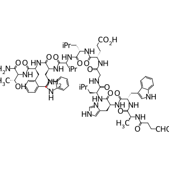 CC(C)C[C@H](NC(=O)[C@H](Cc1c[nH]cn1)NC(=O)[C@H](Cc1c[nH]c2ccccc12)NC(=O)[C@H](C)NC(=O)CCC=O)C(=O)NCC(=O)N[C@@H](CCC(=O)O)C(=O)N[C@@H](CC(C)C)C(=O)NC(C(=O)N[C@@H](Cc1c[nH]c2ccccc12)C(=O)N[C@@H](Cc1ccccc1CN)C(=O)NC(C(N)=O)[C@@H](C)O)C(C)C